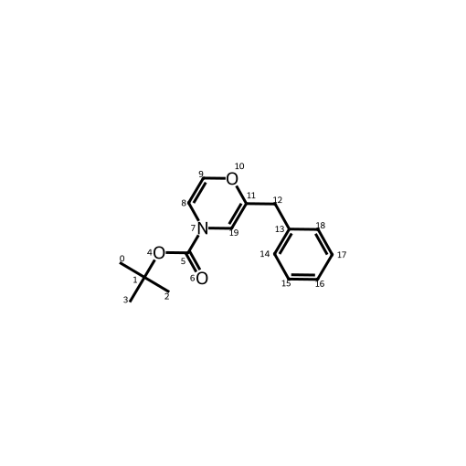 CC(C)(C)OC(=O)N1C=COC(Cc2ccccc2)=C1